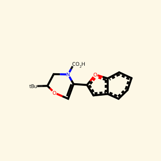 CC(C)(C)C1CN(C(=O)O)C(c2cc3ccccc3o2)=CO1